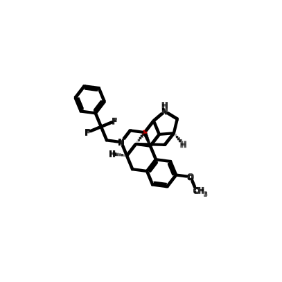 COc1ccc2c(c1)[C@]13CCN(CC(F)(F)c4ccccc4)[C@H](C2)[C@]12CCC1NC[C@@H](C2)C13